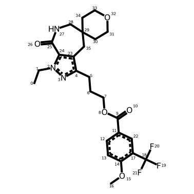 CCn1nc(CCCOC(=O)c2ccc(OC)c(C(F)(F)F)c2)c2c1C(=O)NCC1(CCOCC1)C2